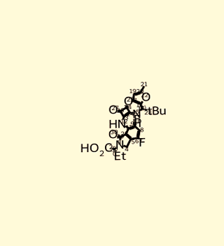 CC[C@@H](C(=O)O)N1Cc2c(F)cc(F)c(Nc3c(N[C@@H](c4ccc(C)o4)C(C)(C)C)c(=O)c3=O)c2C1=O